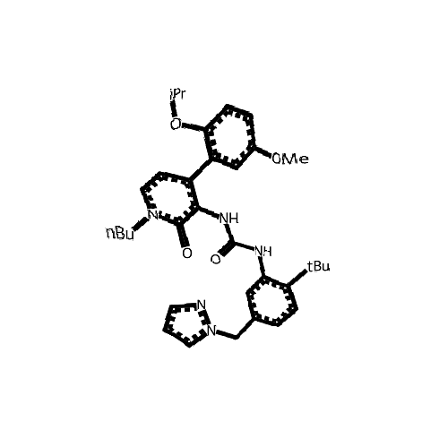 CCCCn1ccc(-c2cc(OC)ccc2OC(C)C)c(NC(=O)Nc2cc(Cn3cccn3)ccc2C(C)(C)C)c1=O